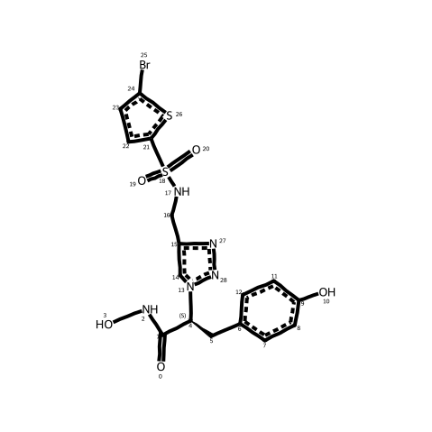 O=C(NO)[C@H](Cc1ccc(O)cc1)n1cc(CNS(=O)(=O)c2ccc(Br)s2)nn1